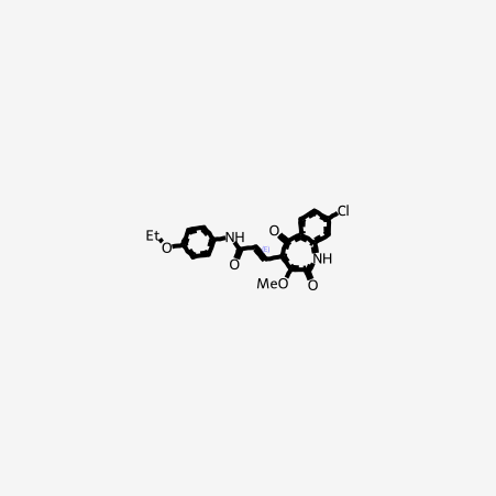 CCOc1ccc(NC(=O)/C=C/c2c(OC)c(=O)[nH]c3cc(Cl)ccc3c2=O)cc1